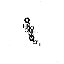 O=C(NCc1ccccc1)C(=O)NCc1ccc(C(F)(F)F)cn1